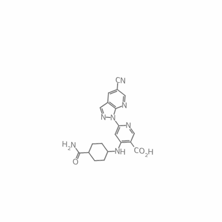 N#Cc1cnc2c(cnn2-c2cc(NC3CCC(C(N)=O)CC3)c(C(=O)O)cn2)c1